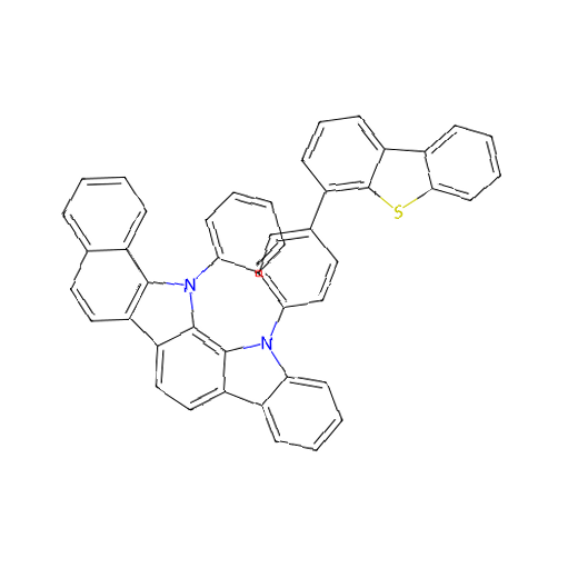 c1ccc(-n2c3c4ccccc4ccc3c3ccc4c5ccccc5n(-c5ccc(-c6cccc7c6sc6ccccc67)cc5)c4c32)cc1